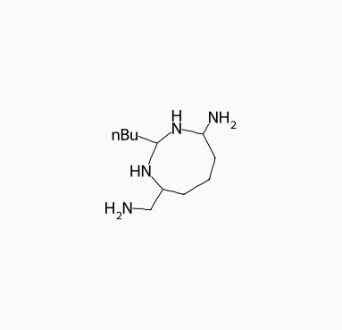 CCCCC1NC(N)CCCC(CN)N1